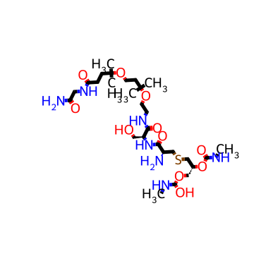 CNC(=O)O[C@H](COC(O)NC)CSC[C@H](N)C(=O)N[C@@H](CO)C(=O)NCCOC(C)(C)CCOC(C)(C)CCC(=O)NCC(N)=O